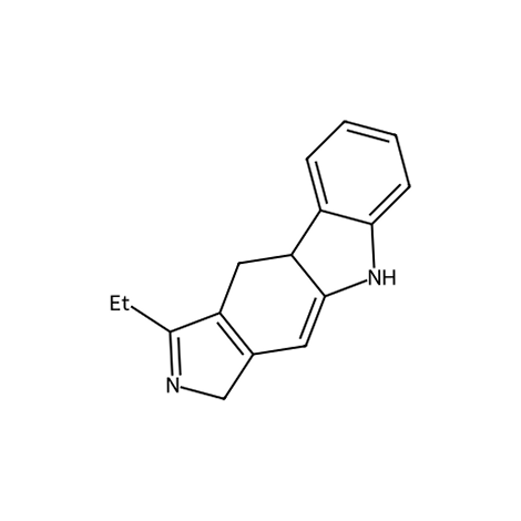 CCC1=NCC2=C1CC1C(=C2)Nc2ccccc21